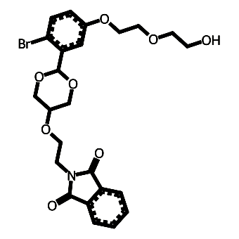 O=C1c2ccccc2C(=O)N1CCOC1COC(c2cc(OCCOCCO)ccc2Br)OC1